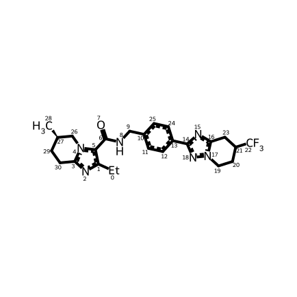 CCc1nc2n(c1C(=O)NCc1ccc(-c3nc4n(n3)CCC(C(F)(F)F)C4)cc1)C[C@H](C)CC2